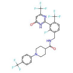 O=C(NCc1ccc(C(F)(F)F)c(-c2nc(C(F)(F)F)cc(=O)[nH]2)c1F)C1CCN(c2ccc(C(F)(F)F)cc2)CC1